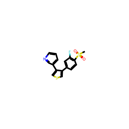 CS(=O)(=O)c1ccc(-c2cscc2-c2cccnc2)cc1F